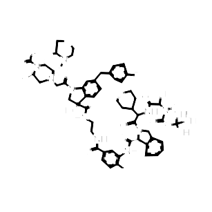 CC1COCCN1C[C@H]1CN(C(=O)O)[C@H](C)CN1CC(=O)N1CC(C)(C(=O)NCCNC(=O)c2ccc(F)c(NC(=O)[C@@H]3c4ccccc4CN3C(=O)C(NC(=O)C(C)N(C)C(=O)OC(C)(C)C)C3CCOCC3)c2)c2ccc(Cc3ccc(F)cc3)cc21